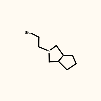 CC(C)(C)CCN1CC2CCCC2C1